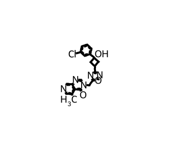 Cc1cncc2ncn(Cc3nc(C4CC(O)(c5cccc(Cl)c5)C4)no3)c(=O)c12